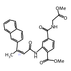 COC(=O)CNC(=O)c1ccc(C(=O)OC)c(NC(=O)/C=C(/C)c2ccc3ccccc3c2)c1